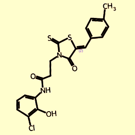 Cc1ccc(/C=C2\SC(=S)N(CCC(=O)Nc3cccc(Cl)c3O)C2=O)cc1